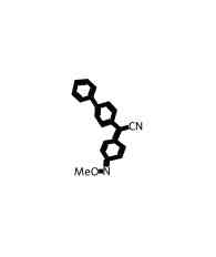 CON=C1C=CC(=C(C#N)c2ccc(-c3ccccc3)cc2)C=C1